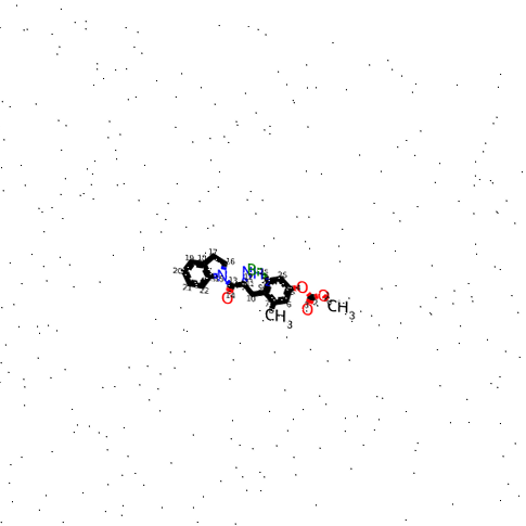 COC(=O)Oc1cc(C)c(CC(N)C(=O)N2CCc3ccccc32)c(Br)c1